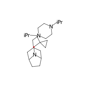 CC(C)CC1(CN2C3CCC2CC(CN2CCN(C(C)C)CC2)C3)CC1